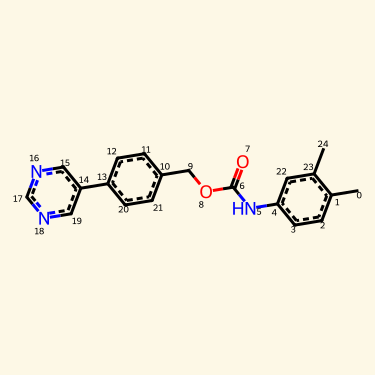 Cc1ccc(NC(=O)OCc2ccc(-c3cncnc3)cc2)cc1C